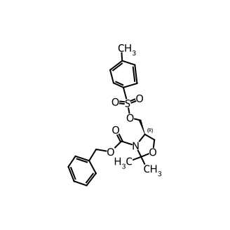 Cc1ccc(S(=O)(=O)OC[C@H]2COC(C)(C)N2C(=O)OCc2ccccc2)cc1